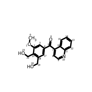 COc1cc(C(=O)c2ccnc3ccccc23)cc(CO)c1CO